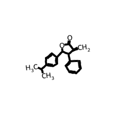 C=C1C(=O)OC(c2ccc(C(C)C)cc2)C1c1ccccc1